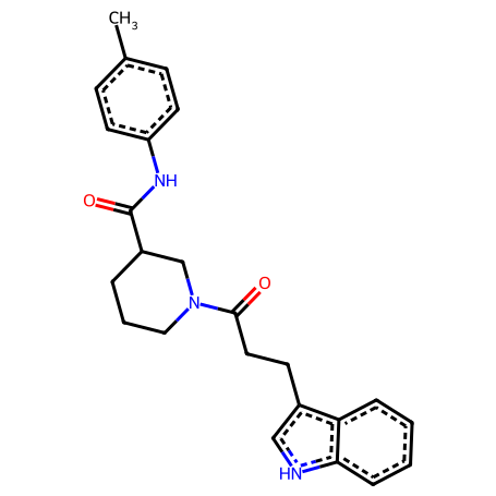 Cc1ccc(NC(=O)C2CCCN(C(=O)CCc3c[nH]c4ccccc34)C2)cc1